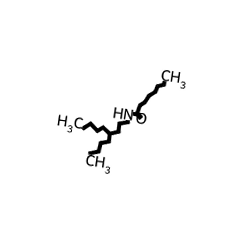 CCCCCCCC(=O)NCCCC(CCCCC)CCCCC